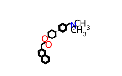 CN(C)Cc1ccc([C@H]2CC[C@H](OC(=O)Cc3ccc4ccccc4c3)CC2)cc1